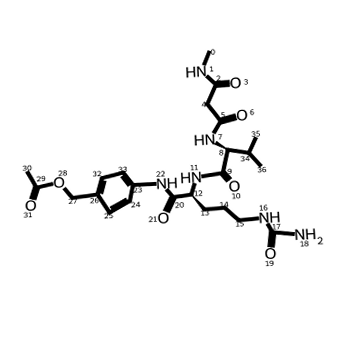 CNC(=O)CC(=O)N[C@H](C(=O)N[C@@H](CCCNC(N)=O)C(=O)Nc1ccc(COC(C)=O)cc1)C(C)C